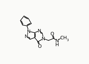 CNC(=O)Cn1cnc2c(cnn2-c2ccccc2)c1=O